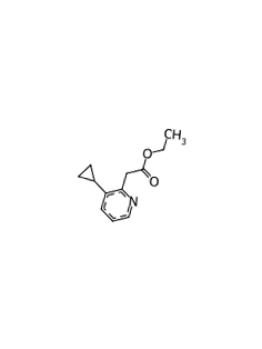 CCOC(=O)Cc1ncccc1C1CC1